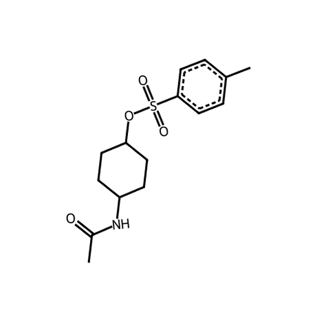 CC(=O)NC1CCC(OS(=O)(=O)c2ccc(C)cc2)CC1